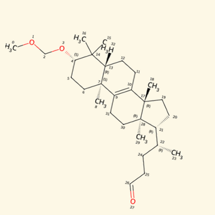 COCO[C@H]1CC[C@]2(C)C3=C(CC[C@H]2C1(C)C)[C@]1(C)CC[C@H]([C@H](C)CCC=O)[C@@]1(C)CC3